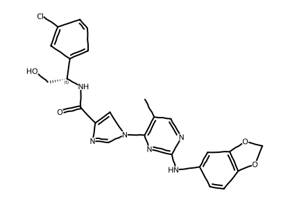 Cc1cnc(Nc2ccc3c(c2)OCO3)nc1-n1cnc(C(=O)N[C@H](CO)c2cccc(Cl)c2)c1